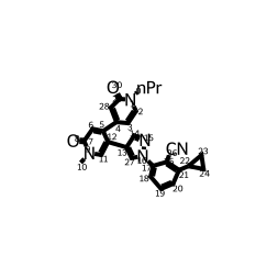 CCCn1ccc(-c2cc(=O)n(C)cc2-c2cnn(-c3cccc(C4CC4)c3C#N)c2)cc1=O